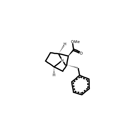 COC(=O)[C@H]1[C@H](Cc2ccccc2)C[C@H]2CC[C@@H]1N2C